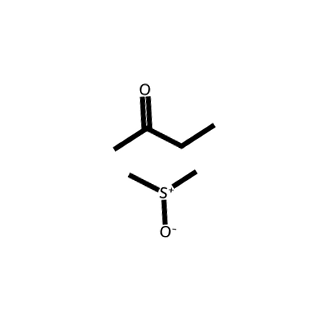 CCC(C)=O.C[S+](C)[O-]